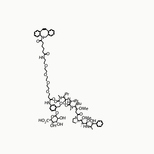 CC[C@H](C)[C@@H]([C@@H](CC(=O)N1CCC[C@H]1[C@H](OC)[C@@H](C)C(=O)N[C@H](C)[C@@H](O)c1ccccc1)OC)N(C)C(=O)[C@@H](NC(=O)[C@H](C(C)C)N(C)C(=O)OCc1cc(NC(=O)CCOCCOCCOCCOCCNC(=O)CCCCC(=O)N2Cc3ccccc3C#Cc3ccccc32)ccc1O[C@@H]1OC(C(=O)O)[C@@H](O)C(O)C1O)C(C)C